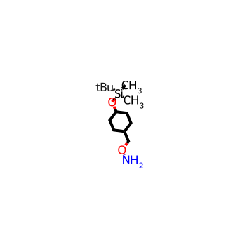 CC(C)(C)[Si](C)(C)OC1CCC(CON)CC1